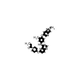 C=CC(=O)N1CCC(Oc2ccc3ncnc(Nc4ccc(Oc5cnc6cn(C)nc6c5)c(C)c4)c3n2)CC1